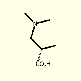 C[C@@H](CN(C)C)C(=O)O